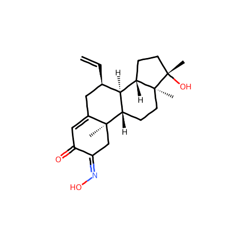 C=C[C@@H]1CC2=CC(=O)/C(=N\O)C[C@]2(C)[C@H]2CC[C@@]3(C)[C@@H](CC[C@]3(C)O)[C@H]12